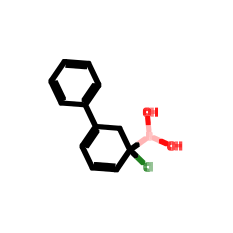 OB(O)C1(Cl)C=CC=C(c2ccccc2)C1